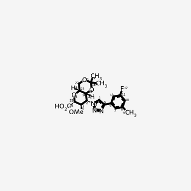 CO[C@@H]1[C@@H](n2cc(-c3cc(C)cc(F)c3)nn2)[C@H]2OC(C)(C)OC[C@H]2O[C@H]1C(=O)O